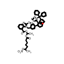 CCOc1nc2cccc(C(=O)OC(C)OC(=O)CCCCC(C)O[N+](=O)[O-])c2n1Cc1ccc(-c2ccccc2-c2nnnn2C(c2ccccc2)(c2ccccc2)c2ccccc2)cc1